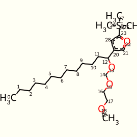 CCCCCCCCCCCCC(OCOCCOC)c1coc([Si](C)(C)C)c1